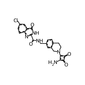 Nc1c(N2CCc3ccc(CNC(=O)c4nc5ccc(Cl)cc5c(=O)[nH]4)cc3C2)c(=O)c1=O